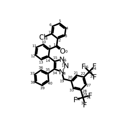 O=C(c1ccccc1Cl)c1ccccc1-c1nnn(Cc2cc(C(F)(F)F)cc(C(F)(F)F)c2)c1-c1ccccc1